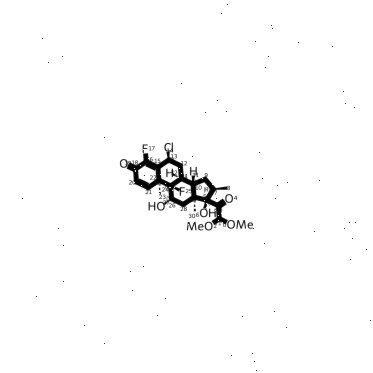 COC(OC)C(=O)[C@@]1(O)[C@H](C)C[C@H]2[C@@H]3C[C@H](Cl)C4=C(F)C(=O)C=C[C@]4(C)[C@@]3(F)[C@@H](O)C[C@@]21C